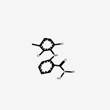 Cc1ccc(Cl)c(Nc2ccccc2C(=O)N(O)C(C)C)c1Cl